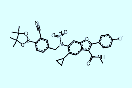 CNC(=O)c1c(-c2ccc(Cl)cc2)oc2cc(N(Cc3ccc(B4OC(C)(C)C(C)(C)O4)c(C#N)c3)[SH](=O)=O)c(C3CC3)cc12